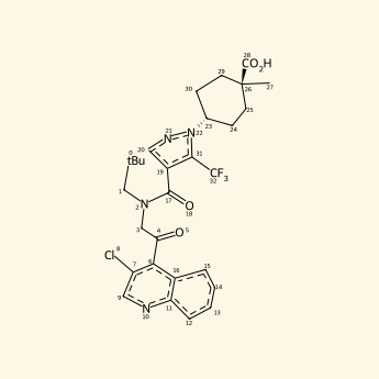 CC(C)(C)CN(CC(=O)c1c(Cl)cnc2ccccc12)C(=O)c1cnn([C@H]2CC[C@](C)(C(=O)O)CC2)c1C(F)(F)F